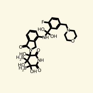 BC1(O)C(=O)NC(=O)C(O)(N2Cc3c(NC(O)(O)c4cc(CN5CCOCC5)ccc4F)cccc3C2=O)C1(B)O